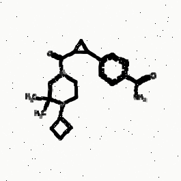 CC1(C)CN(C(=O)C2CC2c2ccc(C(N)=O)cc2)CCN1C1CCC1